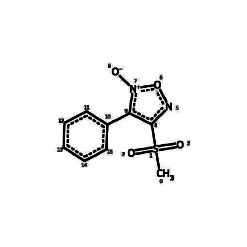 CS(=O)(=O)c1no[n+]([O-])c1-c1ccccc1